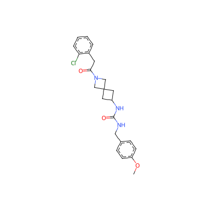 COc1ccc(CNC(=O)NC2CC3(C2)CN(C(=O)Cc2ccccc2Cl)C3)cc1